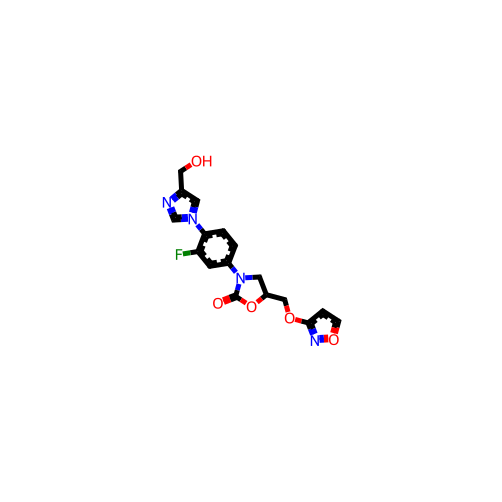 O=C1OC(COc2ccon2)CN1c1ccc(-n2cnc(CO)c2)c(F)c1